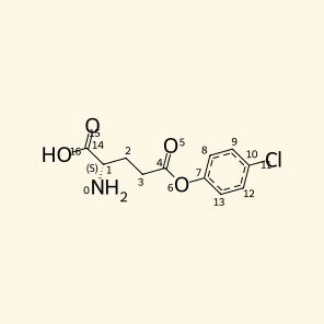 N[C@@H](CCC(=O)Oc1ccc(Cl)cc1)C(=O)O